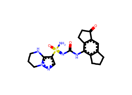 NS(=O)(=NC(=O)Nc1c2c(cc3c1CCC3=O)CCC2)c1cnn2c1NCCC2